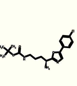 CC(C)(C)OC(=O)NCCC[C@H](N)c1ncc(-c2ccc(Cl)cc2)o1